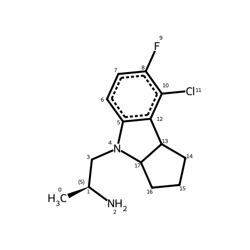 C[C@H](N)CN1c2ccc(F)c(Cl)c2C2CCCC21